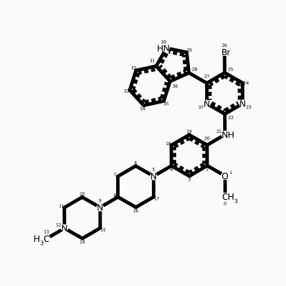 COc1cc(N2CCC(N3CCN(C)CC3)CC2)ccc1Nc1ncc(Br)c(-c2c[nH]c3ccccc23)n1